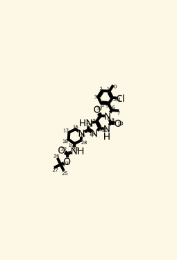 Cc1cccc(C(C)n2c(=O)[nH]c3nc(N4CCCC(NC(=O)OC(C)(C)C)C4)[nH]c3c2=O)c1Cl